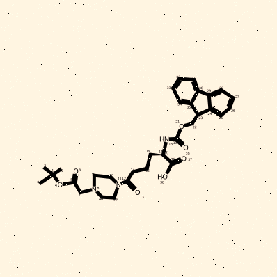 CC(C)(C)OC(=O)CN1CCN(C(=O)CCC[C@@H](NC(=O)OCC2c3ccccc3-c3ccccc32)C(=O)O)CC1